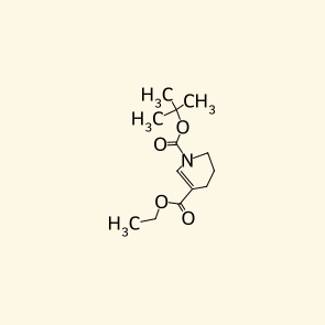 CCOC(=O)C1=CN(C(=O)OC(C)(C)C)CCC1